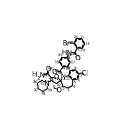 COC1CCc2cc(Cl)ccc2N(C(=O)c2ccc(NC(=O)c3ccccc3Br)cc2)C1(CCN1CCCCC1)OCC(N)=O